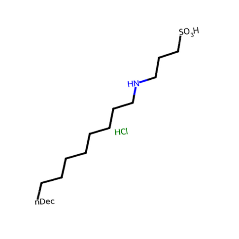 CCCCCCCCCCCCCCCCCCNCCCS(=O)(=O)O.Cl